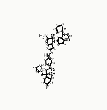 Nc1nc2sc(CNC3CCN(C(=O)CC(O)(Cn4cncn4)c4ccc(F)cc4F)CC3)cc2n(-c2ccc3c(c2)N(c2ccccc2)CCO3)c1=O